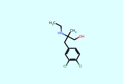 CCNC(C)(CO)Cc1ccc(Cl)c(Cl)c1